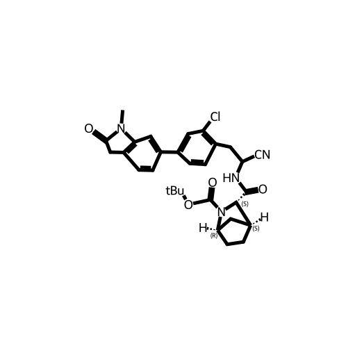 CN1C(=O)Cc2ccc(-c3ccc(CC(C#N)NC(=O)[C@@H]4[C@H]5CC[C@H](C5)N4C(=O)OC(C)(C)C)c(Cl)c3)cc21